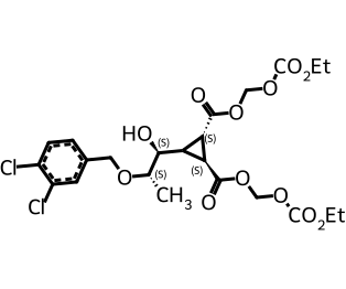 CCOC(=O)OCOC(=O)[C@H]1C([C@H](O)[C@H](C)OCc2ccc(Cl)c(Cl)c2)[C@@H]1C(=O)OCOC(=O)OCC